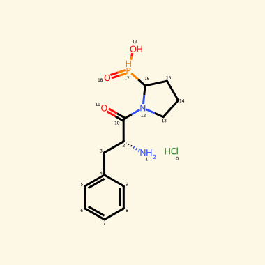 Cl.N[C@H](Cc1ccccc1)C(=O)N1CCCC1[PH](=O)O